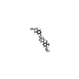 CCOCc1ccc(C2COC(OCc3ccc(OC)c(F)c3)OC2)c(F)c1F